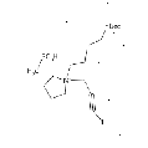 CCCCCCCCCCCCCC[N+]1(CC#CI)CCCC1.CS(=O)(=O)O